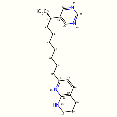 O=C(O)[C@H](CCCCCCCc1ccc2c(n1)NCCC2)c1cncnc1